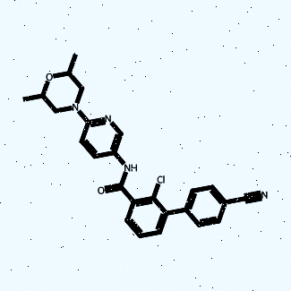 CC1CN(c2ccc(NC(=O)c3cccc(-c4ccc(C#N)cc4)c3Cl)cn2)CC(C)O1